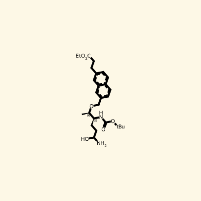 CCOC(=O)CCc1ccc2ccc(CO[C@H](C)[C@H](CCC(N)O)NC(=O)OC(C)(C)C)cc2c1